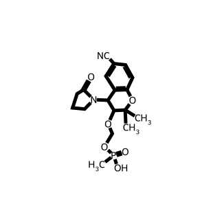 CC1(C)Oc2ccc(C#N)cc2C(N2CCCC2=O)C1OCOP(C)(=O)O